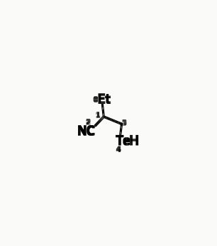 CCC(C#N)C[TeH]